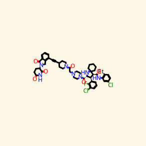 CCc1ccc(Cl)cc1NC(=O)[C@H]1[C@@H](c2cccc(Cl)c2F)[C@H](C(=O)N2CCN(CC(=O)N3CCC(C#Cc4cccc5c4CN(C4CCC(=O)NC4=O)C5=O)CC3)CC2)NC12CCCCC2